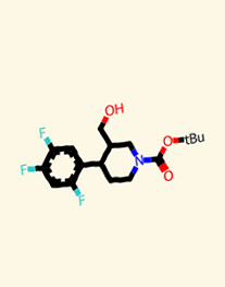 CC(C)(C)OC(=O)N1CCC(c2cc(F)c(F)cc2F)C(CO)C1